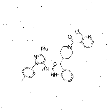 Cc1ccc(-n2nc(C(C)(C)C)cc2NC(=O)Nc2ccccc2CC2CCN(C(=O)c3cccnc3Cl)CC2)cc1